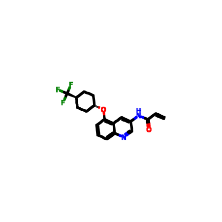 C=CC(=O)Nc1cnc2cccc(O[C@H]3CC[C@H](C(F)(F)F)CC3)c2c1